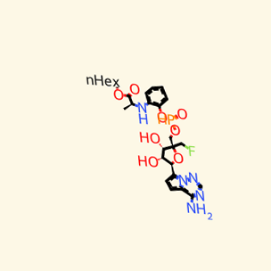 CCCCCCOC(=O)[C@H](C)Nc1ccccc1O[PH](=O)OC[C@@]1(CF)O[C@@H](c2ccc3c(N)ncnn23)[C@H](O)[C@@H]1O